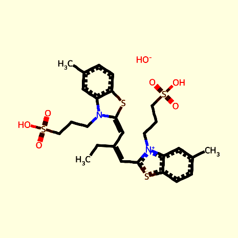 CCC(=Cc1sc2ccc(C)cc2[n+]1CCCS(=O)(=O)O)C=C1Sc2ccc(C)cc2N1CCCS(=O)(=O)O.[OH-]